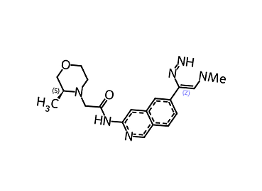 CN/C=C(\N=N)c1ccc2cnc(NC(=O)CN3CCOC[C@@H]3C)cc2c1